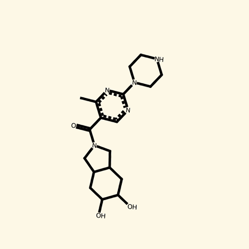 Cc1nc(N2CCNCC2)ncc1C(=O)N1CC2CC(O)C(O)CC2C1